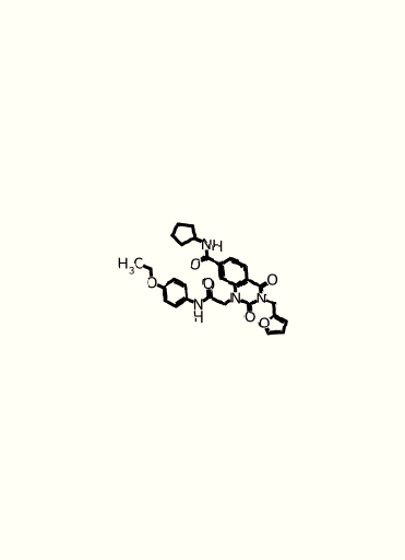 CCOc1ccc(NC(=O)Cn2c(=O)n(Cc3ccco3)c(=O)c3ccc(C(=O)NC4CCCC4)cc32)cc1